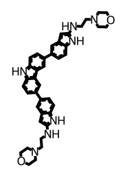 c1cc2[nH]c(NCCN3CCOCC3)cc2cc1-c1ccc2[nH]c3ccc(-c4ccc5[nH]c(NCCN6CCOCC6)cc5c4)cc3c2c1